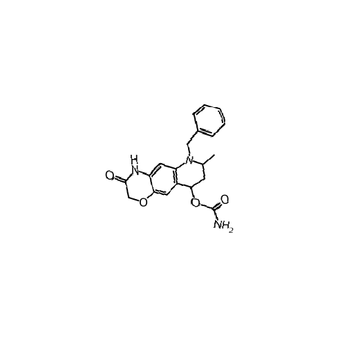 CC1CC(OC(N)=O)c2cc3c(cc2N1Cc1ccccc1)NC(=O)CO3